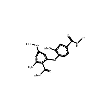 CCNC(=O)c1ccc(Nc2cc(NC=O)nc(N)c2C(=O)NC)c(OC)c1